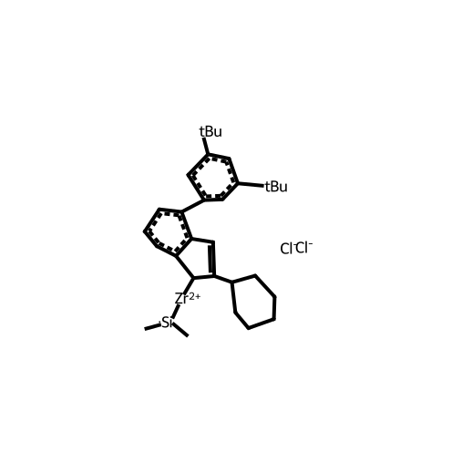 C[Si](C)[Zr+2][CH]1C(C2CCCCC2)=Cc2c(-c3cc(C(C)(C)C)cc(C(C)(C)C)c3)cccc21.[Cl-].[Cl-]